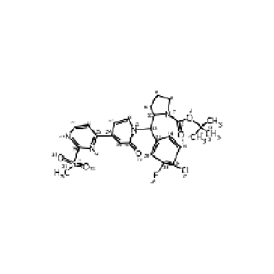 CC(C)(C)OC(=O)N1CCCC1C(c1ccc(Cl)c(F)c1)n1ccc(-c2ccnc(S(C)(=O)=O)n2)cc1=O